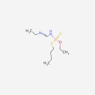 CCCCSP(=S)(N/C=N/CC)OCC